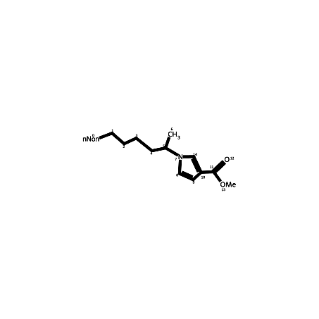 CCCCCCCCCCCCCC(C)n1ccc(C(=O)OC)c1